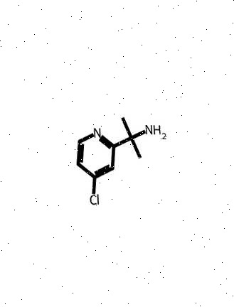 CC(C)(N)c1cc(Cl)ccn1